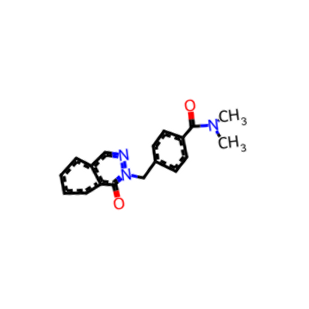 CN(C)C(=O)c1ccc(Cn2ncc3ccccc3c2=O)cc1